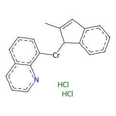 CC1=Cc2ccccc2[CH]1[Cr][c]1cccc2cccnc12.Cl.Cl